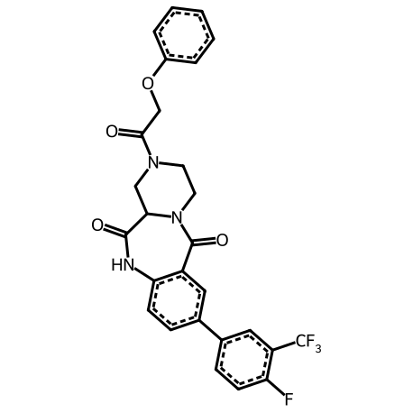 O=C1Nc2ccc(-c3ccc(F)c(C(F)(F)F)c3)cc2C(=O)N2CCN(C(=O)COc3ccccc3)CC12